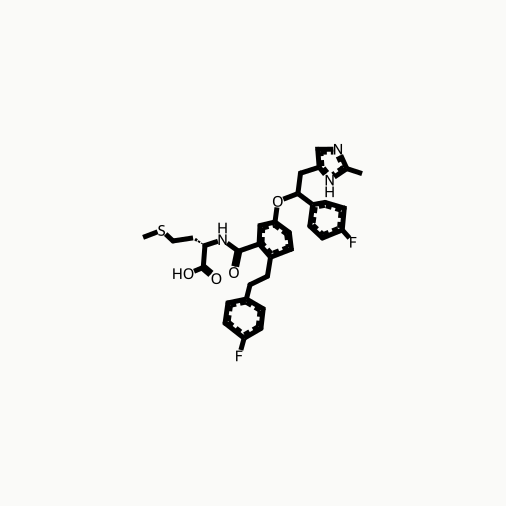 CSCC[C@H](NC(=O)c1cc(OC(Cc2cnc(C)[nH]2)c2ccc(F)cc2)ccc1CCc1ccc(F)cc1)C(=O)O